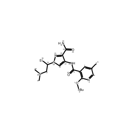 CCCCOc1ncc(I)cc1C(=O)Nc1cn(C(CC)CN(C)C)nc1C(N)=O